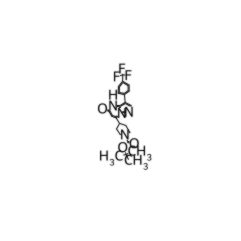 CC(C)(C)OC(=O)N1CCC(c2cc(=O)[nH]c3c(-c4ccc(C(F)(F)F)cc4)cnn23)CC1